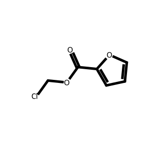 O=C(OCCl)c1ccco1